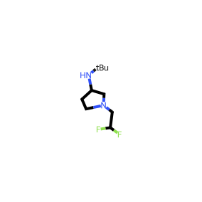 CC(C)(C)NC1CCN(CC(F)F)C1